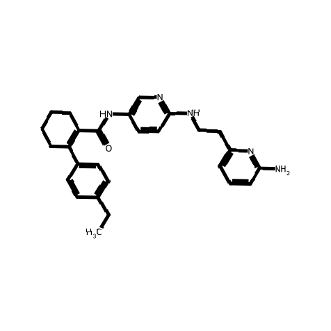 CCc1ccc(C2=C(C(=O)Nc3ccc(NCCc4cccc(N)n4)nc3)CCCC2)cc1